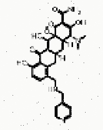 CN(C)[C@@H]1C(O)=C(C(N)=O)C(=O)[C@@]2(OI)C(O)=C3C(=O)c4c(O)ccc(CNCc5ccncc5)c4C[C@H]3C[C@@H]12